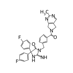 Cc1ncc2c(n1)CN(C(=O)c1cccc(CN3C(=N)NC(c4ccc(F)cc4)(c4ccc(F)cc4)C3=O)c1)C2